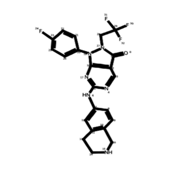 O=c1c2cnc(Nc3ccc4c(c3)CCNC4)nc2n(-c2ccc(F)cc2)n1CC(F)(F)F